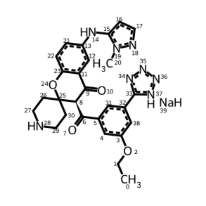 CCOc1cc(C(=O)[C@@H]2C(=O)c3cc(Nc4ccnn4C)ccc3OC23CCNCC3)cc(-c2nnn[nH]2)c1.[NaH]